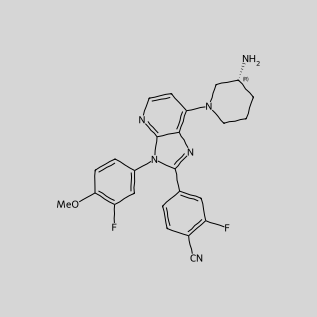 COc1ccc(-n2c(-c3ccc(C#N)c(F)c3)nc3c(N4CCC[C@@H](N)C4)ccnc32)cc1F